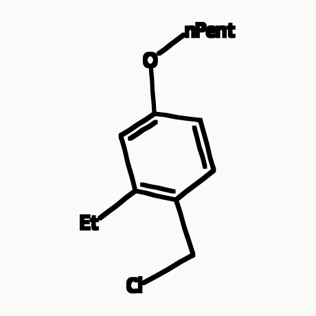 CCCCCOc1ccc(CCl)c(CC)c1